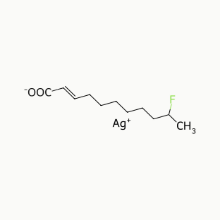 CC(F)CCCCCCC=CC(=O)[O-].[Ag+]